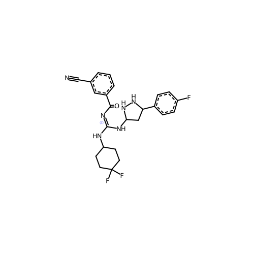 N#Cc1cccc(C(=O)/N=C(/NC2CCC(F)(F)CC2)NC2CC(c3ccc(F)cc3)NN2)c1